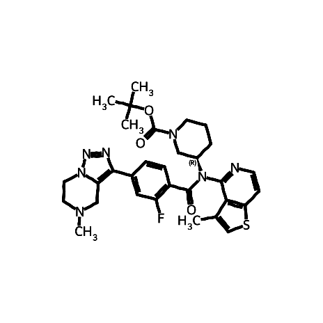 Cc1csc2ccnc(N(C(=O)c3ccc(-c4nnn5c4CN(C)CC5)cc3F)[C@@H]3CCCN(C(=O)OC(C)(C)C)C3)c12